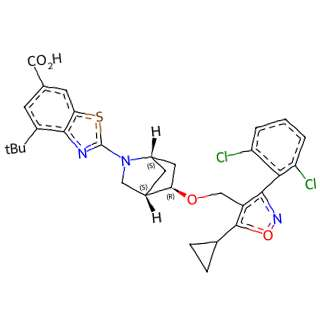 CC(C)(C)c1cc(C(=O)O)cc2sc(N3C[C@@H]4C[C@H]3C[C@H]4OCc3c(-c4c(Cl)cccc4Cl)noc3C3CC3)nc12